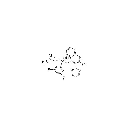 CN(C)CCC(O)(Cc1c(-c2ccccc2)c(Cl)nc2ccccc12)c1cc(F)cc(F)c1